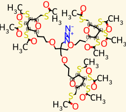 CC(=O)SC[C@H]1O[C@@H](CCCOCC(CN=[N+]=[N-])(COCCC[C@@H]2O[C@H](CSC(C)=O)[C@@H](SC(C)=O)[C@@H](SC(C)=O)[C@@H]2SC(C)=O)COCCC[C@@H]2O[C@H](CSC(C)=O)[C@@H](SC(C)=O)[C@@H](SC(C)=O)[C@@H]2SC(C)=O)[C@H](SC(C)=O)[C@H](SC(C)=O)[C@@H]1SC(C)=O